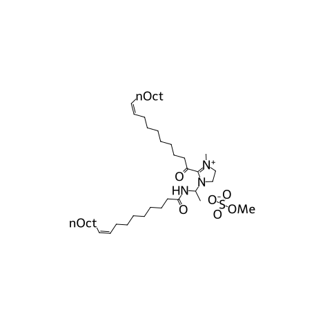 CCCCCCCC/C=C\CCCCCCCC(=O)NC(C)N1CC[N+](C)=C1C(=O)CCCCCCC/C=C\CCCCCCCC.COS(=O)(=O)[O-]